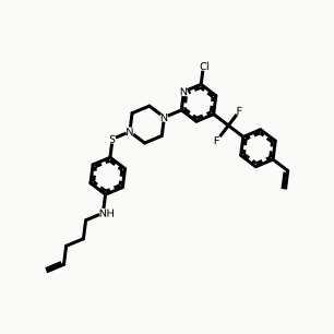 C=CCCCNc1ccc(SN2CCN(c3cc(C(F)(F)c4ccc(C=C)cc4)cc(Cl)n3)CC2)cc1